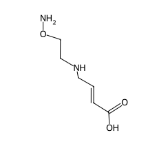 NOCCNC/C=C/C(=O)O